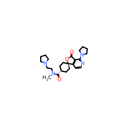 CN(CCN1CCCC1)C(=O)[C@H]1CC[C@@]2(CC1)OC(=O)c1c(N3CCCC3)nccc12